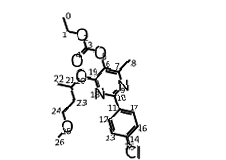 CCOC(=O)Oc1c(C)nc(-c2ccc(Cl)cc2)nc1OC(C)CCOC